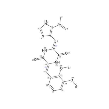 C=C(C)c1[nH]cnc1/C=c1\[nH]c(=O)/c(=C/c2cccc(OC)c2OC)[nH]c1=O